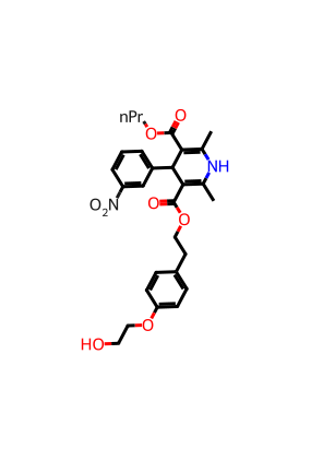 CCCOC(=O)C1=C(C)NC(C)=C(C(=O)OCCc2ccc(OCCO)cc2)C1c1cccc([N+](=O)[O-])c1